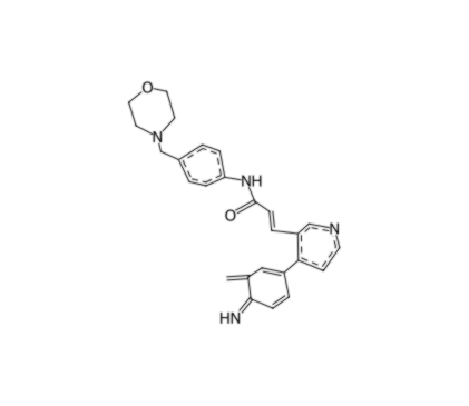 C=C1C=C(c2ccncc2/C=C/C(=O)Nc2ccc(CN3CCOCC3)cc2)C=CC1=N